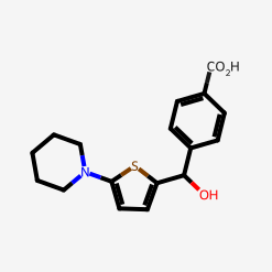 O=C(O)c1ccc(C(O)c2ccc(N3CCCCC3)s2)cc1